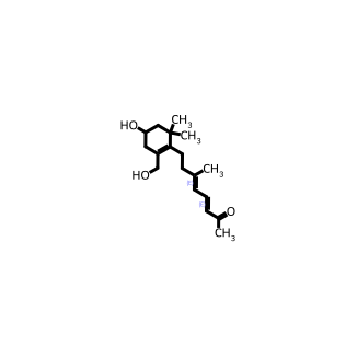 CC(=O)/C=C/C=C(\C)CCC1=C(CO)CC(O)CC1(C)C